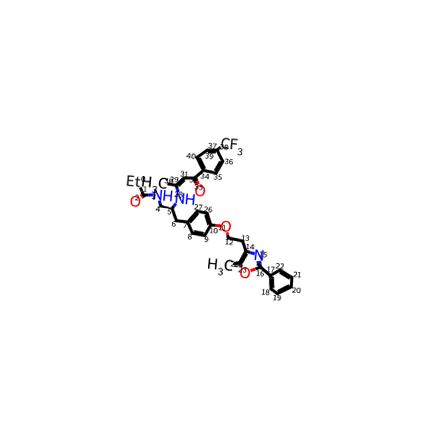 CCC(=O)NC[C@H](Cc1ccc(OCCc2nc(-c3ccccc3)oc2C)cc1)N/C(C)=C\C(=O)c1ccc(C(F)(F)F)cc1